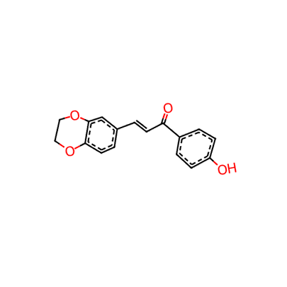 O=C(C=Cc1ccc2c(c1)OCCO2)c1ccc(O)cc1